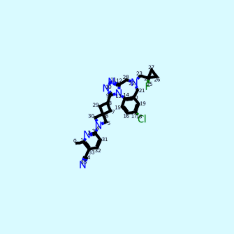 Cc1nc(N2CC3(CC(c4nnc5n4-c4ccc(Cl)cc4CN(CC4(F)CC4)C5)C3)C2)ccc1C#N